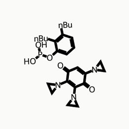 CCCCc1cccc(OP(O)O)c1CCCC.O=C1C=C(N2CC2)C(=O)C(N2CC2)=C1N1CC1